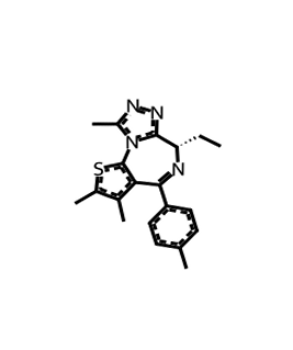 CC[C@@H]1N=C(c2ccc(C)cc2)c2c(sc(C)c2C)-n2c(C)nnc21